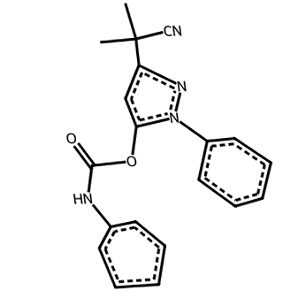 CC(C)(C#N)c1cc(OC(=O)Nc2ccccc2)n(-c2ccccc2)n1